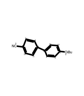 CC(C)COc1ccc(-c2ccc(C#N)cc2)cc1